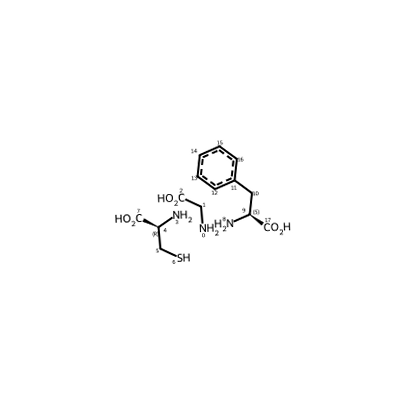 NCC(=O)O.N[C@@H](CS)C(=O)O.N[C@@H](Cc1ccccc1)C(=O)O